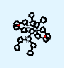 c1ccc(-c2cccc(-c3cc(-c4cc([Si](c5cccc(-c6ccccc6)c5)(c5cccc(-c6ccccc6)c5)c5cccc(-c6ccccc6)c5)cc([Si](c5cccc(-c6ccccc6)c5)(c5cccc(-c6ccccc6)c5)c5cccc(-c6ccccc6)c5)c4)nc(-c4cccc(-c5ccccc5)c4)n3)c2)cc1